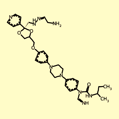 CCC(C)NC(=O)N(C=N)c1ccc(N2CCN(c3ccc(OCC4CO[C@@](CN/N=C\CN)(c5ccncc5)O4)cc3)CC2)cc1